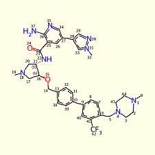 CN1CCN(Cc2ccc(-c3ccc(CO[C@H]4CN(C)C[C@@H]4NC(=O)c4cc(-c5cnn(C)c5)cnc4N)cc3)cc2C(F)(F)F)CC1